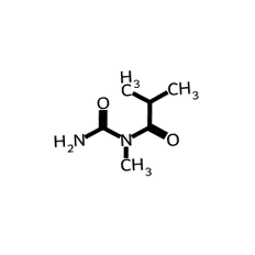 CC(C)C(=O)N(C)C(N)=O